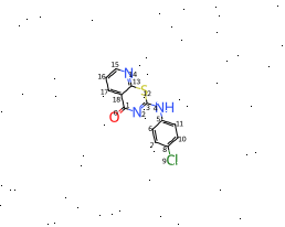 O=c1nc(Nc2ccc(Cl)cc2)sc2ncccc12